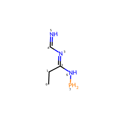 CC/C(=N\C=N)NP